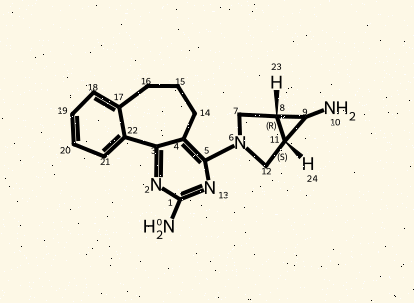 Nc1nc2c(c(N3C[C@@H]4C(N)[C@@H]4C3)n1)CCCc1ccccc1-2